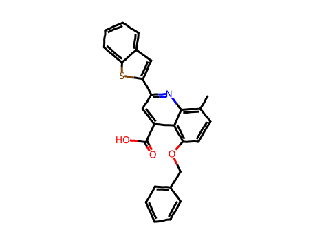 Cc1ccc(OCc2ccccc2)c2c(C(=O)O)cc(-c3cc4ccccc4s3)nc12